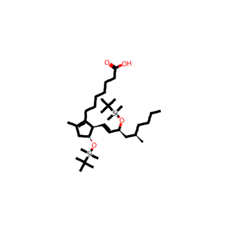 CCCC[C@@H](C)C[C@@H](/C=C/[C@@H]1C(CCCCCCC(=O)O)=C(C)C[C@H]1O[Si](C)(C)C(C)(C)C)O[Si](C)(C)C(C)(C)C